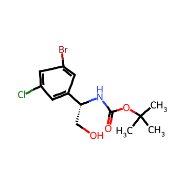 CC(C)(C)OC(=O)N[C@H](CO)c1cc(Cl)cc(Br)c1